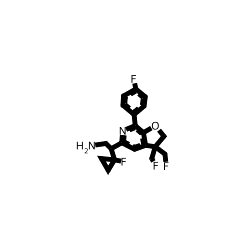 NCC(c1cc2c(c(-c3ccc(F)cc3)n1)OCC2(CF)CF)C1(F)CC1